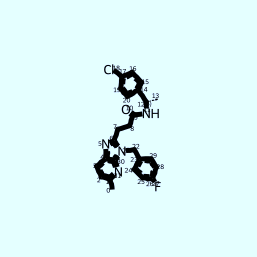 Cc1ccc2nc(CCC(=O)N[C@@H](C)c3ccc(Cl)cc3)n(Cc3ccc(F)cc3)c2n1